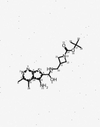 Cc1nnc2sc(C(O)NCC3CN(C(=O)OC(C)(C)C)C3)c(N)c2c1C